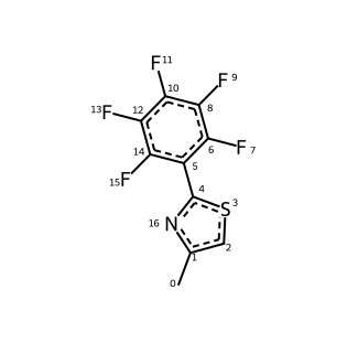 Cc1csc(-c2c(F)c(F)c(F)c(F)c2F)n1